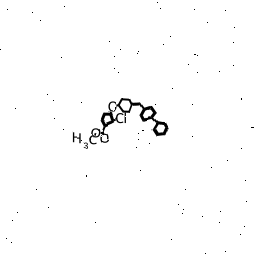 COC(=O)c1ccc(OC2CCC(=Cc3ccc(-c4ccccc4)cc3)CC2)c(Cl)c1